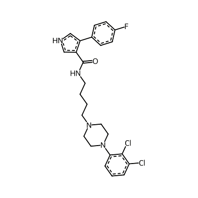 O=C(NCCCCN1CCN(c2cccc(Cl)c2Cl)CC1)c1c[nH]cc1-c1ccc(F)cc1